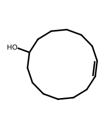 OC1CCCCC/C=C\CCCCCC1